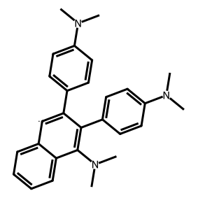 CN(C)c1ccc(-c2[c]c3ccccc3c(N(C)C)c2-c2ccc(N(C)C)cc2)cc1